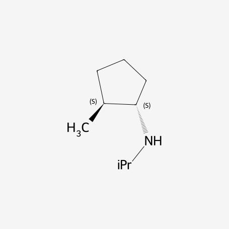 CC(C)N[C@H]1CCC[C@@H]1C